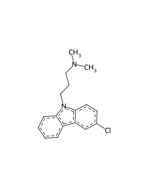 CN(C)CCCn1c2ccccc2c2cc(Cl)ccc21